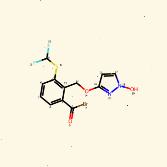 O=C(Br)c1cccc(SC(F)F)c1COc1ccn(O)n1